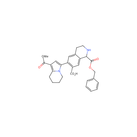 COC(=O)c1cc(-c2cc3c(cc2C(=O)O)C(C(=O)OCc2ccccc2)NCC3)n2c1CCCC2